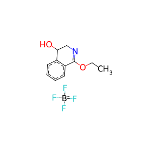 CCOC1=NCC(O)c2ccccc21.F[B-](F)(F)F